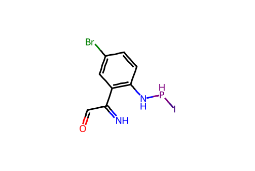 N=C(C=O)c1cc(Br)ccc1NPI